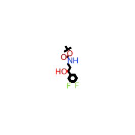 CC(C)(C)OC(=O)NCCC(O)c1ccc(F)c(F)c1